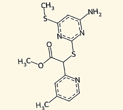 COC(=O)C(Sc1nc(N)cc(SC)n1)c1cc(C)ccn1